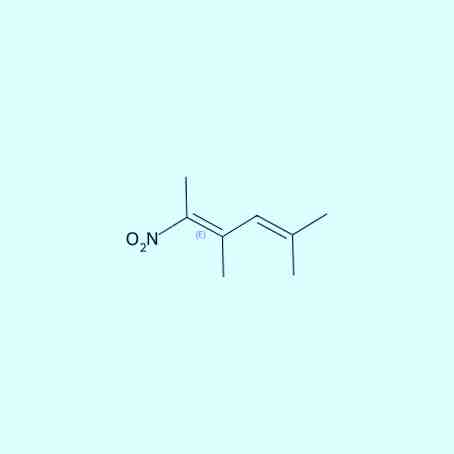 CC(C)=C/C(C)=C(\C)[N+](=O)[O-]